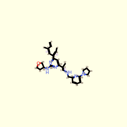 C=C/C(C)=C\C(=C/C)c1cc(/C(C)=C/NCc2cccc(N3CCCC3)n2)nc(NC2CCOC2)n1